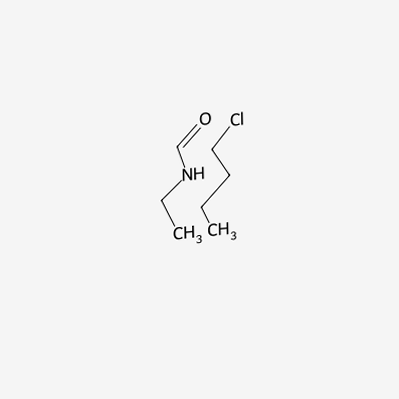 CCCCCl.CCNC=O